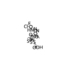 CCOc1cc2ncnc(Nc3ccc(F)c(Cl)c3)c2cc1NC(=O)C(CC)n1nc(SCCC(=O)O)sc1=S